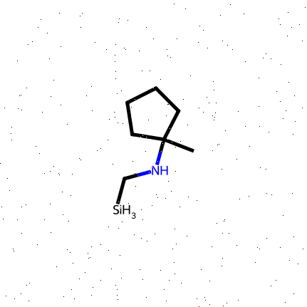 CC1(NC[SiH3])CCCC1